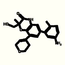 Cc1ccc(N)cc1-c1cc2c(c(C3=CCOCC3)c1)OC(C)(CO)C(=O)N2